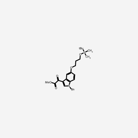 COC(=O)C(=O)c1cn(C(C)C)c2ccc(OCCCO[Si](C)(C)C(C)(C)C)cc12